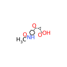 CC(=O)Nc1ccc(C(=O)[C@H]2C[C@H]2C(=O)O)cc1